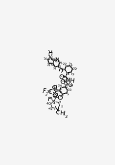 CN1CCC(F)(COc2ccc(S(=O)(=O)NC(=O)c3ccccc3Oc3cnc4[nH]ccc4c3)cc2S(=O)(=O)C(F)(F)F)CC1